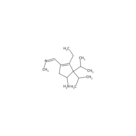 CCC1=C(/C=N\C)CC(N)C1(C(C)C)C(C)C